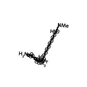 CNCCCCCC(=O)NCCOCCOCCOCCOCCOCCOCCOCCOCCC(=O)NC(C(=O)NC(C)C(=O)Nc1ccc(COC(=O)Oc2ccc(N)cc2)cc1)C(C)C